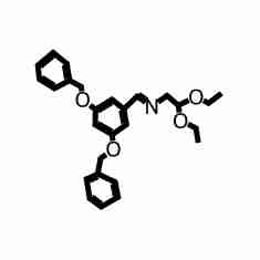 CCOC(CN=Cc1cc(OCc2ccccc2)cc(OCc2ccccc2)c1)OCC